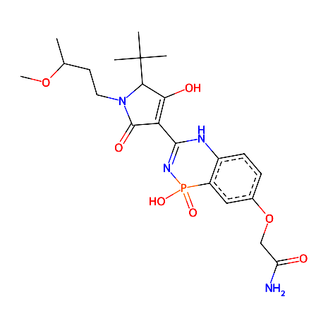 COC(C)CCN1C(=O)C(C2=NP(=O)(O)c3cc(OCC(N)=O)ccc3N2)=C(O)C1C(C)(C)C